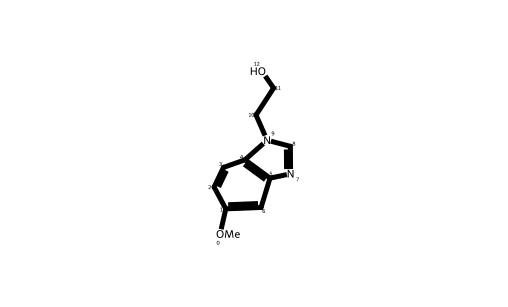 COc1ccc2c(c1)ncn2CCO